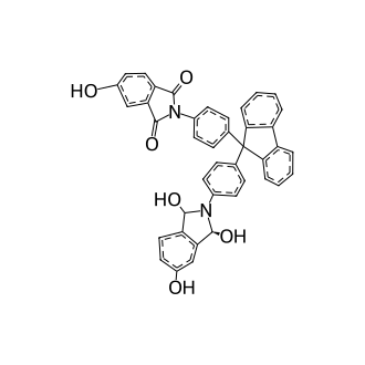 O=C1c2ccc(O)cc2C(=O)N1c1ccc(C2(c3ccc(N4C(O)c5ccc(O)cc5[C@@H]4O)cc3)c3ccccc3-c3ccccc32)cc1